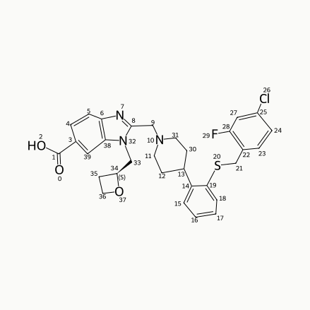 O=C(O)c1ccc2nc(CN3CCC(c4ccccc4SCc4ccc(Cl)cc4F)CC3)n(C[C@@H]3CCO3)c2c1